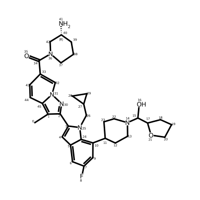 Cc1c(-c2cc3cc(F)cc(C4CCN(C(O)C5CCCO5)CC4)c3n2CC2CC2)nn2cc(C(=O)N3CCC[C@@H](N)C3)ccc12